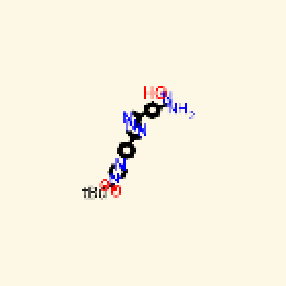 CC(C)(C)OC(=O)N1CCN(c2ccc(-c3cnc4c(-c5ccc(/C(N)=N\O)cc5)cnn4c3)cc2)CC1